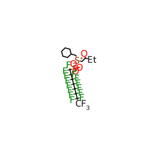 CCC(=O)C[S+](CC1CCCCC1)OS(=O)(=O)C(F)(F)C(F)(F)C(F)(F)C(F)(F)C(F)(F)C(F)(F)C(F)(F)C(F)(F)F